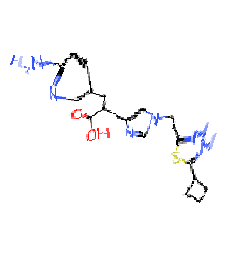 Nc1ccc(CC(C(=O)O)c2cn(Cc3nnc(C4CCC4)s3)cn2)cn1